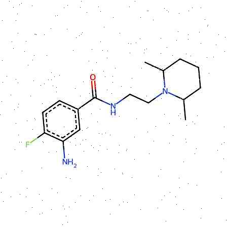 CC1CCCC(C)N1CCNC(=O)c1ccc(F)c(N)c1